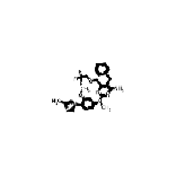 COc1cc(N(C)c2nc(N)c(Cc3ccccc3)c(COCC(F)(F)F)n2)ccc1-n1cnc(C)c1